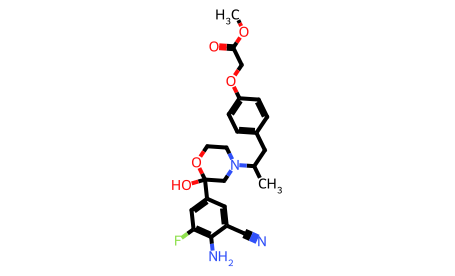 COC(=O)COc1ccc(CC(C)N2CCOC(O)(c3cc(F)c(N)c(C#N)c3)C2)cc1